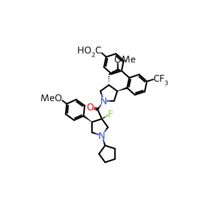 COCC[C@H]1CN(C(=O)[C@]2(F)CN(C3CCCC3)C[C@H]2c2ccc(OC)cc2)C[C@@H]1c1ccc(C(F)(F)F)cc1-c1ccc(C(=O)O)cc1